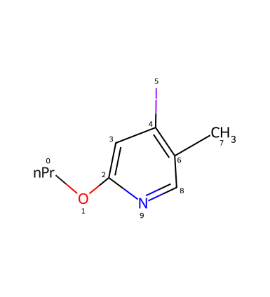 CCCOc1cc(I)c(C)cn1